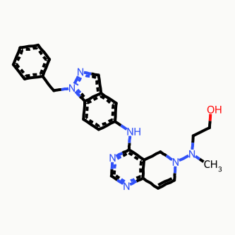 CN(CCO)N1C=Cc2ncnc(Nc3ccc4c(cnn4Cc4ccccc4)c3)c2C1